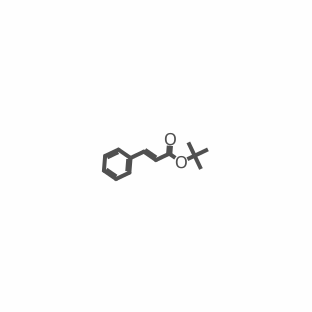 CC(C)(C)OC(=O)C=Cc1ccccc1